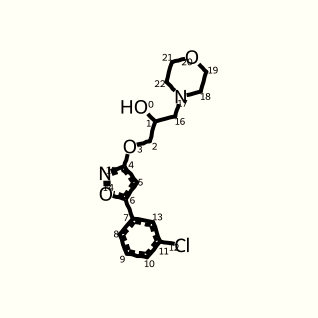 OC(COc1cc(-c2cccc(Cl)c2)on1)CN1CCOCC1